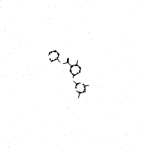 CNc1cc(C)nc(Nc2ccc(Cl)c(C(=O)Nc3cccnc3)c2)n1